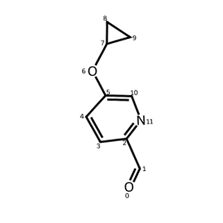 O=Cc1ccc(OC2CC2)cn1